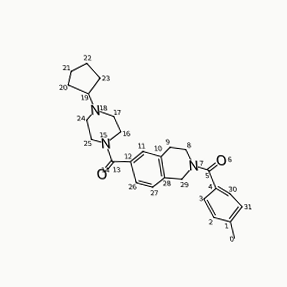 Cc1ccc(C(=O)N2CCc3cc(C(=O)N4CCN(C5CCCC5)CC4)ccc3C2)cc1